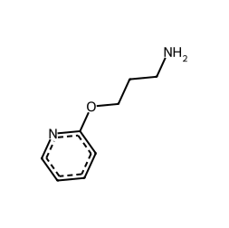 NCCCOc1ccccn1